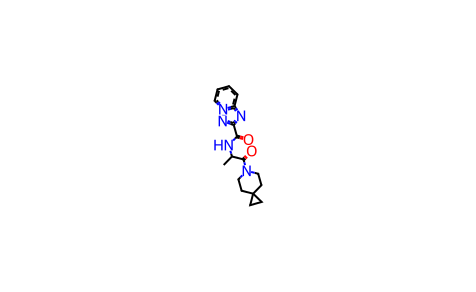 CC(NC(=O)c1nc2ccccn2n1)C(=O)N1CCC2(CC1)CC2